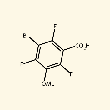 COc1c(F)c(Br)c(F)c(C(=O)O)c1F